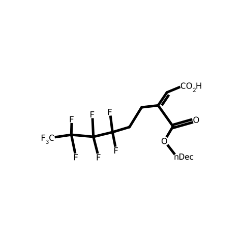 CCCCCCCCCCOC(=O)/C(=C\C(=O)O)CCC(F)(F)C(F)(F)C(F)(F)C(F)(F)F